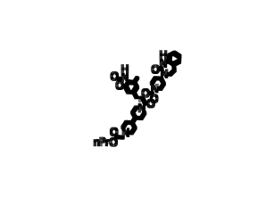 CCCOC(=O)CN1CCC(C2CCN(C(=O)[C@@H](Cc3cc(C)c4[nH]c(=O)oc4c3)OC(=O)N3CCC(N4CCc5ccccc5NC4=O)CC3)CC2)CC1